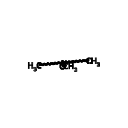 CCCCCCCCCCCCCCN(CCCCCCCCCCCCCC)C(C)=O